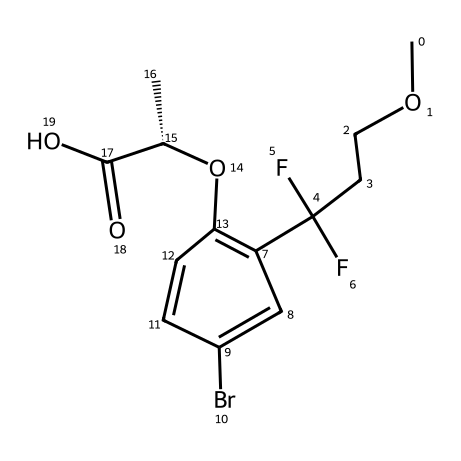 COCCC(F)(F)c1cc(Br)ccc1O[C@@H](C)C(=O)O